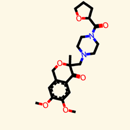 COc1cc2c(cc1OC)C(=O)C(C)(CN1CCN(C(=O)C3CCCO3)CC1)OC2